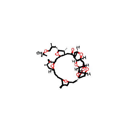 C=C1CC2CC[C@@]34C[C@H]5O[C@H]6C(O3)[C@H]3O[C@H](CC[C@@H]3O[C@H]6[C@H]5O4)CC(=O)CC3C(C[C@H]4O[C@@H](CCC1O2)C[C@@H](C)C4=C)O[C@H](C[C@H](C)CO[Si](C)(C)C(C)(C)C)[C@@H]3C